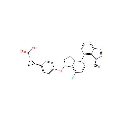 Cn1ccc2cccc(-c3ccc(F)c4c3CC[C@H]4Oc3ccc([C@H]4C[C@@H]4C(=O)O)cc3)c21